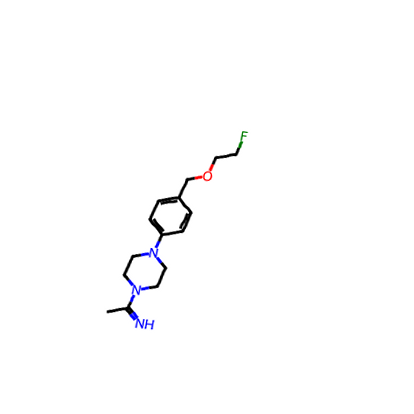 CC(=N)N1CCN(c2ccc(COCCF)cc2)CC1